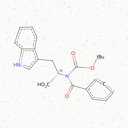 CC(C)(C)OC(=O)N(C(=O)c1ccccc1)[C@@H](Cc1c[nH]c2ccccc12)C(=O)O